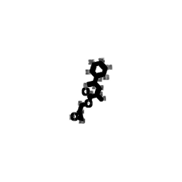 C=C(C=C(C)C(=O)OCC1CO1)c1ccccc1